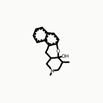 CC1CN(C)CC2Cc3c(ccc4ccccc34)OC12O